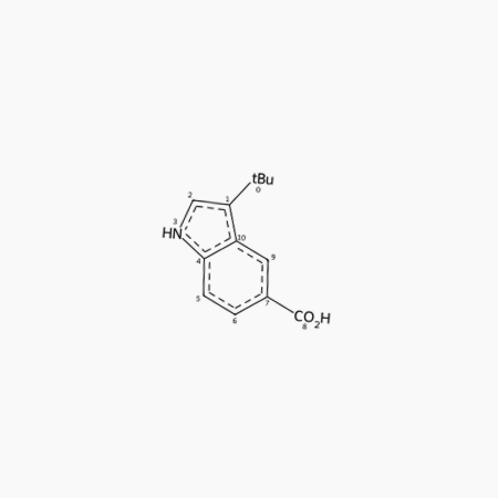 CC(C)(C)c1c[nH]c2ccc(C(=O)O)cc12